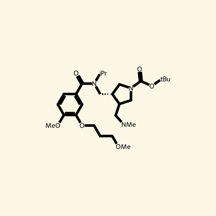 CNCC1CN(C(=O)OC(C)(C)C)C[C@H]1CN(C(=O)c1ccc(OC)c(OCCCOC)c1)C(C)C